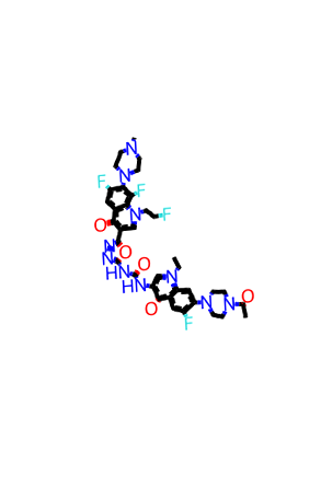 CCn1cc(NC(=O)Nc2nnc(-c3cn(CCF)c4c(F)c(N5CCN(C)CC5)c(F)cc4c3=O)o2)c(=O)c2cc(F)c(N3CCN(C(C)=O)CC3)cc21